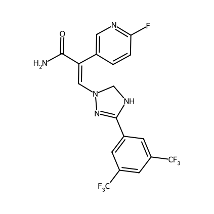 NC(=O)/C(=C/N1CNC(c2cc(C(F)(F)F)cc(C(F)(F)F)c2)=N1)c1ccc(F)nc1